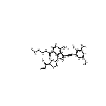 C=CC(=O)N1CCC(n2nc(C#Cc3cc(OC)cc(OC)c3F)c3c(N)ncc(C(=O)CCCOC)c32)C1